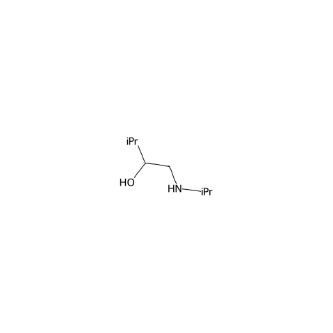 CC(C)NCC(O)C(C)C